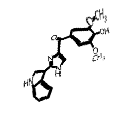 COc1cc(C(=O)c2c[nH]c(-c3c[nH]c4ccccc34)n2)cc(OC)c1O